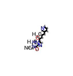 C/C(=C\c1cccnc1)CC(=O)c1cnc(C(=O)NCC#N)n1C